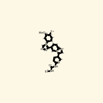 CCNC(=O)Nc1ccc(-c2cnc3ccc(-c4nncn4-c4ccc(F)c(OC)c4)cn23)cn1